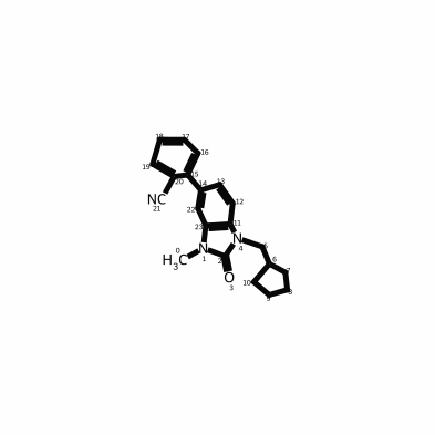 Cn1c(=O)n(CC2CCCC2)c2ccc(-c3ccccc3C#N)cc21